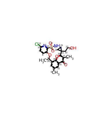 Cc1cc([C@@H](C)Oc2ccc(Cl)nc2S(N)(=O)=O)c2oc(C3(CCO)CC3)c(C)c(=O)c2c1